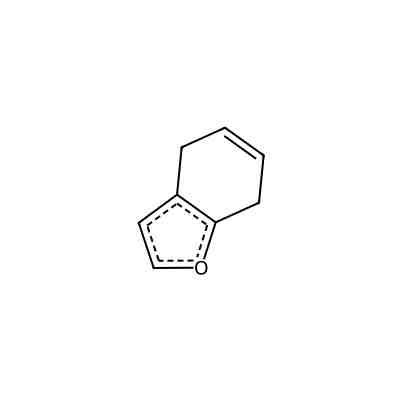 C1=CCc2occc2C1